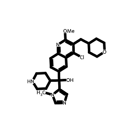 COc1nc2ccc(C(O)(c3cncn3C)C3CCNCC3)cc2c(Cl)c1CC1CCOCC1